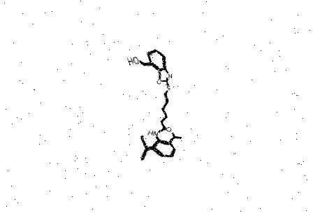 CC(C)c1cccc(C(C)C)c1NC(=O)CCCCCSc1nc2cccc(CO)c2o1